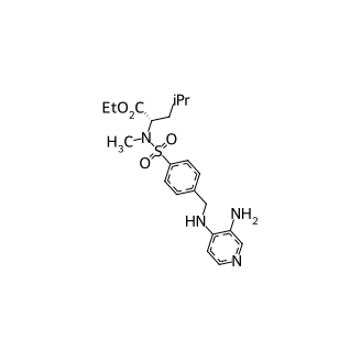 CCOC(=O)[C@H](CC(C)C)N(C)S(=O)(=O)c1ccc(CNc2ccncc2N)cc1